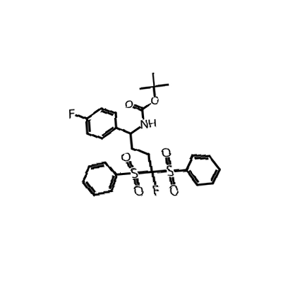 CC(C)(C)OC(=O)NC(CCC(F)(S(=O)(=O)c1ccccc1)S(=O)(=O)c1ccccc1)c1ccc(F)cc1